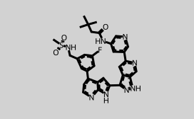 CC(C)(C)CC(=O)Nc1cncc(-c2cc3c(-c4cc5c(-c6cc(F)cc(CNS(C)(=O)=O)c6)ccnc5[nH]4)n[nH]c3cn2)c1